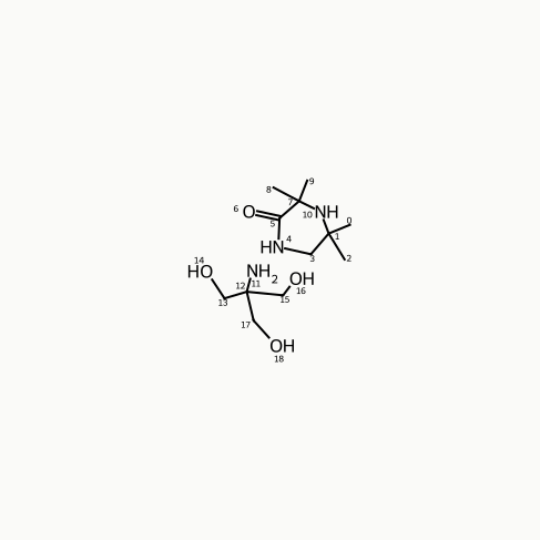 CC1(C)CNC(=O)C(C)(C)N1.NC(CO)(CO)CO